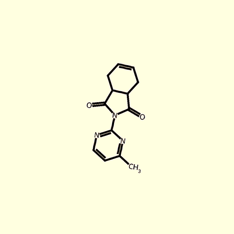 Cc1ccnc(N2C(=O)C3CC=CCC3C2=O)n1